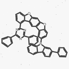 c1ccc(-c2ccc3c4ccccc4n(-c4ccc5oc6cc7oc8cccc(-c9nc(-c%10ccccc%10)nc(-c%10ccccc%10)n9)c8c7cc6c5c4)c3c2)cc1